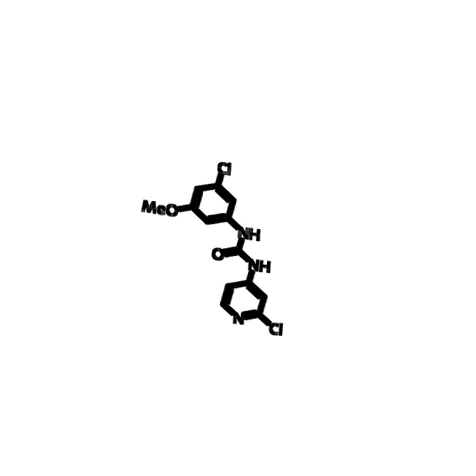 COc1cc(Cl)cc(NC(=O)Nc2ccnc(Cl)c2)c1